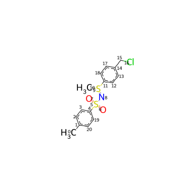 Cc1ccc(S(=O)(=O)/N=S(\C)c2ccc(CCl)cc2)cc1